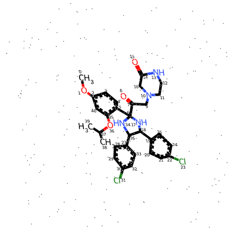 COc1ccc(C2(C(=O)CN3CCNC(=O)C3)NC(c3ccc(Cl)cc3)C(c3ccc(Cl)cc3)N2)c(OC(C)C)c1